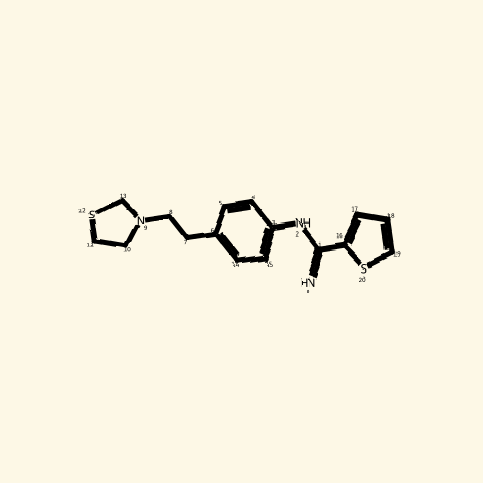 N=C(Nc1ccc(CCN2CCSC2)cc1)c1cccs1